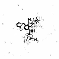 CC(C)(C)OC(=O)Nc1ccc(CN2CCCC2=O)c(F)c1NC(=O)OC(C)(C)C